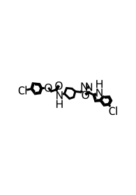 O=C(COc1ccc(Cl)cc1)NC1CCC(c2nnc(-c3cc4cc(Cl)ccc4[nH]3)o2)CC1